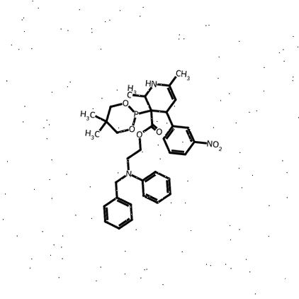 CC1=CC(c2cccc([N+](=O)[O-])c2)C(C(=O)OCCN(Cc2ccccc2)c2ccccc2)(P2OCC(C)(C)CO2)C(C)N1